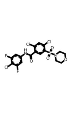 O=C(Nc1cc(F)c(Cl)c(F)c1)c1cc(S(=O)(=O)N2CCOCC2)c(Cl)cc1Cl